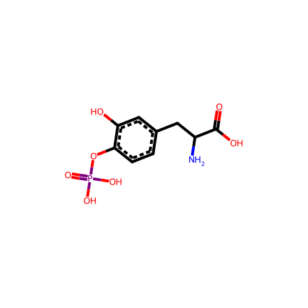 NC(Cc1ccc(OP(=O)(O)O)c(O)c1)C(=O)O